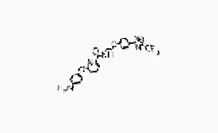 Nc1ccc(Oc2cccc(C(=O)NCCOc3ccc(-c4noc(C(F)(F)F)n4)cc3)n2)cc1